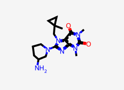 Cn1c(=O)c2c(nc(N3CCCC(N)C3)n2CC2(C)CC2)n(C)c1=O